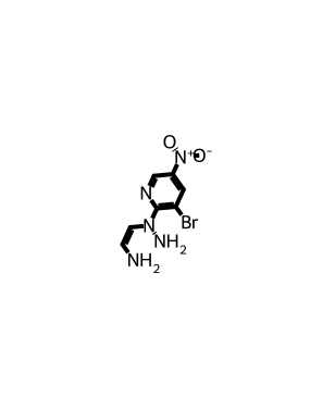 N/C=C\N(N)c1ncc([N+](=O)[O-])cc1Br